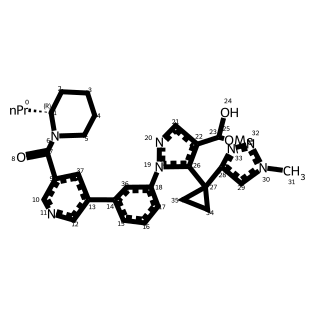 CCC[C@@H]1CCCCN1C(=O)c1cncc(-c2cccc(-n3ncc(C(O)OC)c3C3(c4cn(C)nn4)CC3)c2)c1